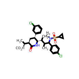 CC(C(C)[C@@H]1NC(=O)[C@@H]([C@H](C)C(=O)O)C[C@@H]1c1cccc(Cl)c1)C(c1ccc(Cl)cc1)N(C)S(=O)(=O)C1CC1